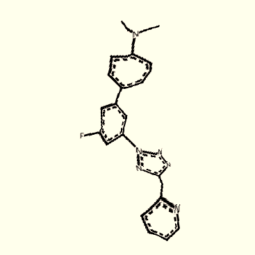 CN(C)c1ccc(-c2cc(F)cc(-n3nnc(-c4ccccn4)n3)c2)cc1